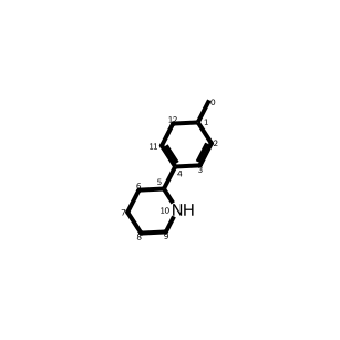 CC1C=CC(C2CCCCN2)=CC1